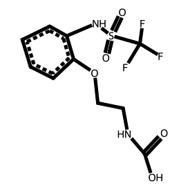 O=C(O)NCCOc1ccccc1NS(=O)(=O)C(F)(F)F